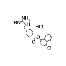 Cl.N=C(N)NC[C@H]1CC[C@H](C(=O)Oc2ccc(Cl)c3ccccc23)CC1